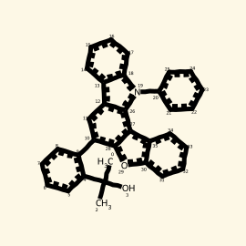 CC(C)(O)c1ccccc1-c1cc2c3ccccc3n(-c3ccccc3)c2c2c1oc1ccccc12